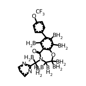 Bc1c(B)c(-c2ccc(OC(F)(F)F)cc2)c(B)c2c1OC(B)(B)C(B)(B)N(C(B)(B)c1ncccn1)C2=O